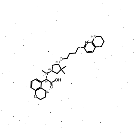 C[C@@H]1CCOc2cccc([C@@H](C(=O)O)N(C)[C@H]3C[C@H](OCCCCc4ccc5c(n4)NCCC5)C(C)(C)C3)c21